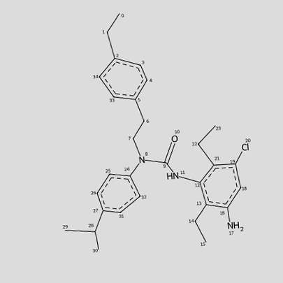 CCc1ccc(CCN(C(=O)Nc2c(CC)c(N)cc(Cl)c2CC)c2ccc(C(C)C)cc2)cc1